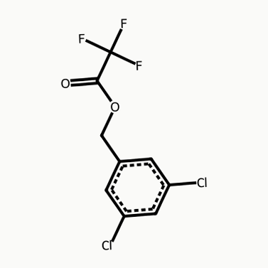 O=C(OCc1cc(Cl)cc(Cl)c1)C(F)(F)F